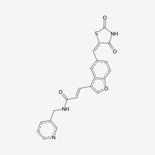 O=C(C=Cc1coc2ccc(C=C3SC(=O)NC3=O)cc12)NCc1cccnc1